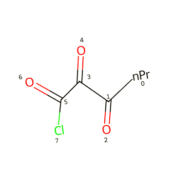 CCCC(=O)C(=O)C(=O)Cl